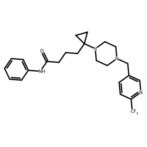 O=C(CCCC1(N2CCN(Cc3ccc(C(F)(F)F)nc3)CC2)CC1)Nc1ccccc1